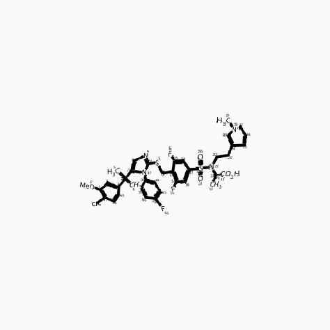 COc1cc(C(C)(C)c2cnc(SCc3c(F)cc(S(=O)(=O)N(CCc4ccc[n+](C)c4)[C@H](C)C(=O)O)cc3F)n2-c2ccc(F)cc2)ccc1Cl